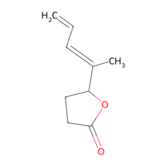 C=CC=C(C)C1CCC(=O)O1